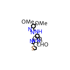 COc1cc2ncnc(Nc3ccc4c(c3)CCN4C(C=O)c3c(-c4cccs4)cnn3C)c2cc1OC